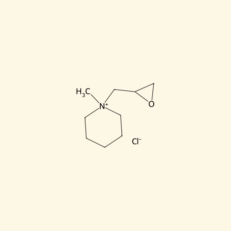 C[N+]1(CC2CO2)CCCCC1.[Cl-]